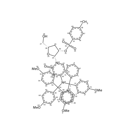 COc1ccc(C(c2ccccc2)(c2ccc(OC)cc2)N(c2ccn([C@@H]3O[C@H](CO)C[C@@H]3OS(=O)(=O)c3ccc(C)cc3)c(=O)n2)C(c2ccccc2)(c2ccc(OC)cc2)c2ccc(OC)cc2)cc1